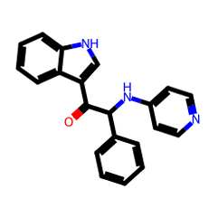 O=C(c1c[nH]c2ccccc12)C(Nc1ccncc1)c1ccccc1